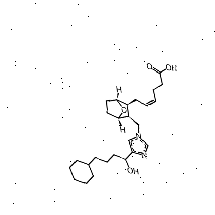 O=C(O)CC/C=C\C[C@H]1[C@@H](Cn2cnc(C(O)CCCC3CCCCC3)c2)[C@@H]2CC[C@H]1O2